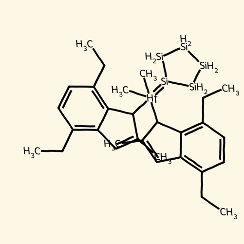 CCc1ccc(CC)c2c1C=C(C)[CH]2[Hf]([CH3])([CH3])([CH]1C(C)=Cc2c(CC)ccc(CC)c21)=[Si]1[SiH2][SiH2][SiH2][SiH2]1